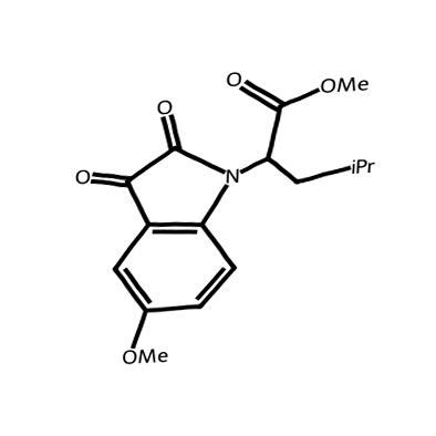 COC(=O)C(CC(C)C)N1C(=O)C(=O)c2cc(OC)ccc21